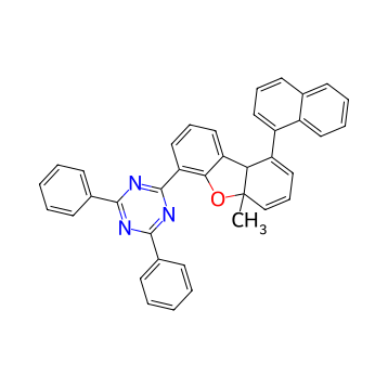 CC12C=CC=C(c3cccc4ccccc34)C1c1cccc(-c3nc(-c4ccccc4)nc(-c4ccccc4)n3)c1O2